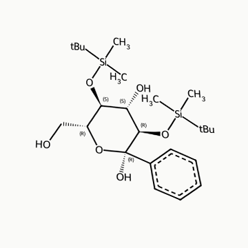 CC(C)(C)[Si](C)(C)O[C@H]1[C@H](O)[C@@H](O[Si](C)(C)C(C)(C)C)[C@@](O)(c2ccccc2)O[C@@H]1CO